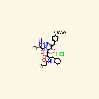 COc1ccc(C[C@H](N)C(=O)C(NC(=O)[C@@H](N)C(C)C)C(F)(F)C(=O)C(CC2CCCCC2)NC(=O)CC(C)C)cc1.Cl